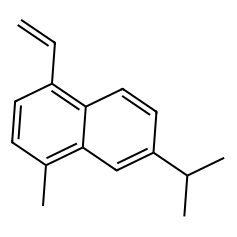 C=Cc1ccc(C)c2cc(C(C)C)ccc12